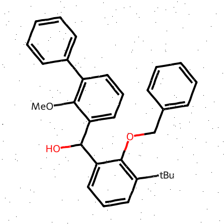 COc1c(-c2ccccc2)cccc1C(O)c1cccc(C(C)(C)C)c1OCc1ccccc1